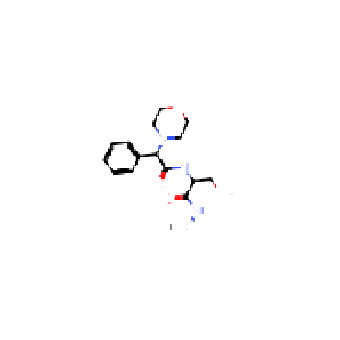 CNC(=O)C(CO)NC(=O)C(c1ccccc1)N1CCOCC1